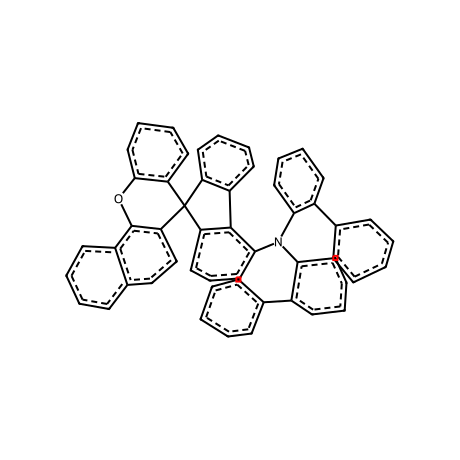 c1ccc(-c2ccccc2N(c2ccccc2-c2ccccc2)c2cccc3c2-c2ccccc2C32c3ccccc3Oc3c2ccc2ccccc32)cc1